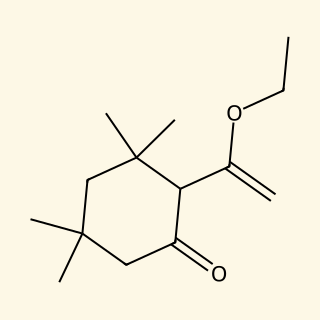 C=C(OCC)C1C(=O)CC(C)(C)CC1(C)C